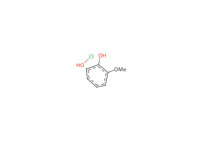 COc1ccccc1O.OCl